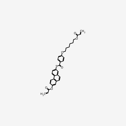 C=CC(=O)OCCCCCCOc1ccc(C(=O)Sc2ccc3c(ccc4cc(OC(=O)C=C)ccc43)c2)cc1